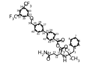 CC(C)(Cc1ccccc1)N[C@@H](CCC(N)=O)C(=O)OC(=O)c1ccc(-c2ccc(COc3cc(C(F)(F)F)cc(C(F)(F)F)c3)cc2)cc1